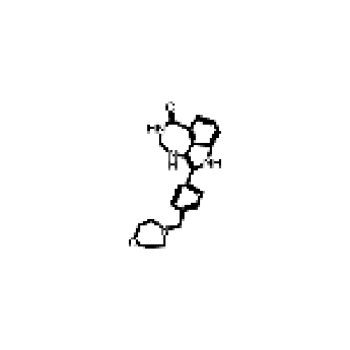 O=C1NCNc2c(-c3ccc(CN4CCOCC4)cc3)[nH]c3cccc1c23